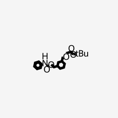 CC(C)(C)OC(=O)COCC1CCCC(COC(=O)Nc2ccccc2)C1